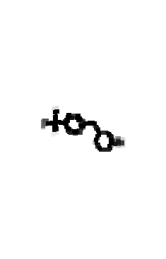 FC(F)(F)c1ccc(CC2CCCNC2)cc1